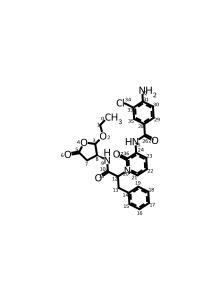 CCOC1OC(=O)C[C@@H]1NC(=O)C(Cc1ccccc1)n1cccc(NC(=O)c2ccc(N)c(Cl)c2)c1=O